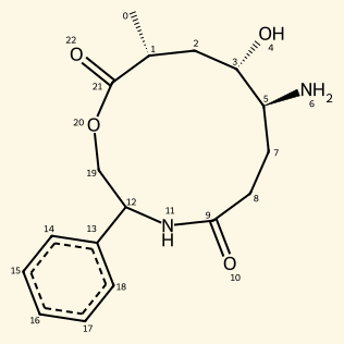 C[C@@H]1C[C@H](O)[C@@H](N)CCC(=O)NC(c2ccccc2)COC1=O